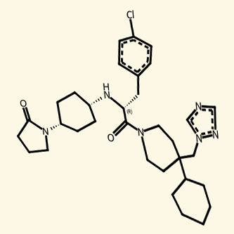 O=C([C@@H](Cc1ccc(Cl)cc1)N[C@H]1CC[C@@H](N2CCCC2=O)CC1)N1CCC(Cn2cncn2)(C2CCCCC2)CC1